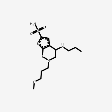 CCCNC1CN(CCCOC)Sc2sc(S(N)(=O)=O)cc21